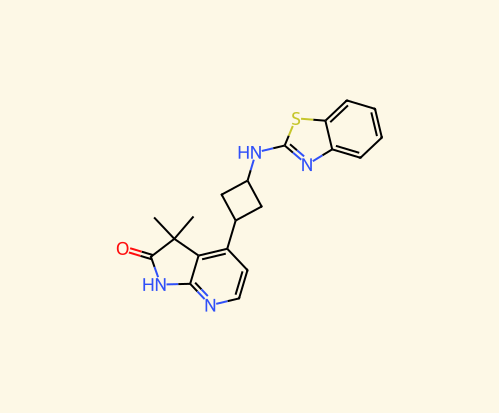 CC1(C)C(=O)Nc2nccc(C3CC(Nc4nc5ccccc5s4)C3)c21